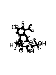 CC(C)c1c(F)c(Cl)cc(C2CC2)c1CC(=O)N=S(N)(=O)c1cnc(C(C)(C)O)s1